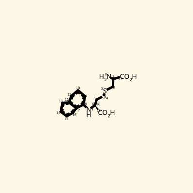 NC(CSSC[C@H](Nc1cccc2ccccc12)C(=O)O)C(=O)O